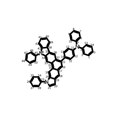 c1ccc(N(c2ccccc2)c2ccc(-c3cc4cc5ccn(-c6ccccc6)c5cc4c4cc5c(cc34)c3ccccc3n5-c3ccccc3)cc2)cc1